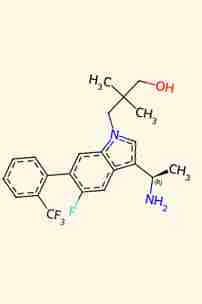 C[C@@H](N)c1cn(CC(C)(C)CO)c2cc(-c3ccccc3C(F)(F)F)c(F)cc12